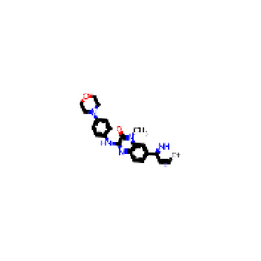 CC/C=C\C(=N)c1ccc2nc(Nc3ccc(N4CCOCC4)cc3)c(=O)n(C)c2c1